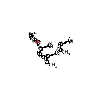 Cc1ccnc(-c2cc(C#Cc3cncnc3)ccn2)c1.Cc1ccnc(-c2cc(C#Cc3cncnc3)ccn2)c1.Cc1ccnc(-c2cc(C#Cc3cncnc3)ccn2)c1.F[P-](F)(F)(F)(F)F.F[P-](F)(F)(F)(F)F.F[P-](F)(F)(F)(F)F.[Fe+3]